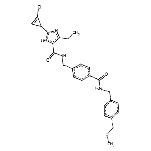 CCc1nc(C2C=C2Cl)[nH]c1C(=O)NCc1ccc(C(=O)NCc2ccc(COC)cc2)cc1